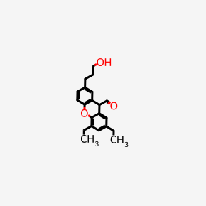 CCc1cc(CC)c2c(c1)C(C=O)c1cc(CCCO)ccc1O2